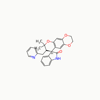 CC1(C)Oc2cc3c(cc2[C@@]2(C(=O)Nc4ccccc42)C1Cc1ccccn1)OCCO3